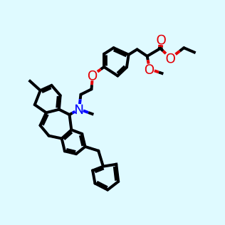 CCOC(=O)C(Cc1ccc(OCCN(C)C2C3=CC=C(C)CC3=CCc3ccc(Cc4ccccc4)cc32)cc1)OC